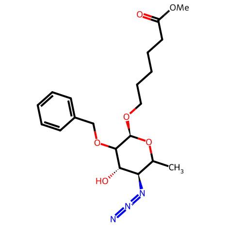 COC(=O)CCCCCO[C@H]1OC(C)[C@@H](N=[N+]=[N-])[C@H](O)C1OCc1ccccc1